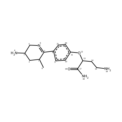 CC1CC(N)CN=C1c1ccc(OC(CCN)C(N)=O)cc1